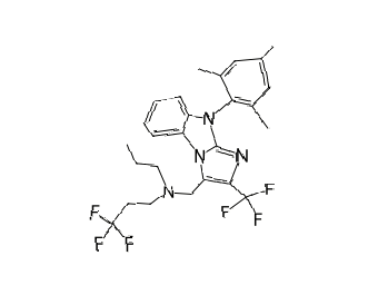 CCCN(CCC(F)(F)F)Cc1c(C(F)(F)F)nc2n(-c3c(C)cc(C)cc3C)c3ccccc3n12